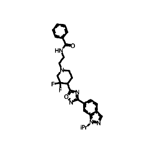 CC(C)n1ncc2ccc(-c3noc(C4CCN(CCNC(=O)c5ccccc5)CC4(F)F)n3)cc21